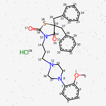 COc1ccccc1N1CCN(CCCN2C(=O)SC(Cc3ccccc3)(Cc3ccccc3)C2=O)CC1.Cl